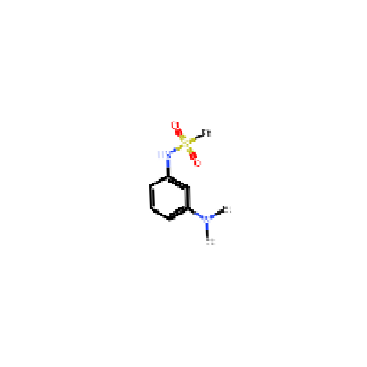 CCN(CC)c1cccc(NS(=O)(=O)CC)c1